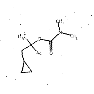 CC(=O)C(C)(CC1CC1)OC(=O)N(C)C